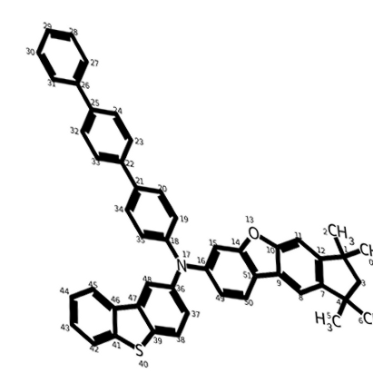 CC1(C)CC(C)(C)c2cc3c(cc21)oc1cc(N(c2ccc(-c4ccc(-c5ccccc5)cc4)cc2)c2ccc4sc5ccccc5c4c2)ccc13